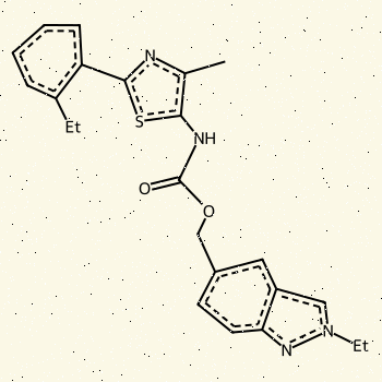 CCc1ccccc1-c1nc(C)c(NC(=O)OCc2ccc3nn(CC)cc3c2)s1